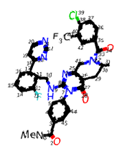 CNC(=O)c1ccc(-n2c(NCc3c(F)cccc3-c3ccncn3)nc3c(c2=O)CC(C)N(C(=O)c2ccc(Cl)c(C(F)(F)F)c2)C3)cc1